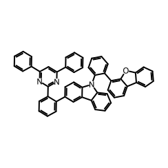 c1ccc(-c2cc(-c3ccccc3)nc(-c3ccccc3-c3ccc4c(c3)c3ccccc3n4-c3ccccc3-c3cccc4c3oc3ccccc34)n2)cc1